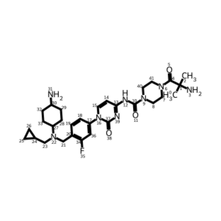 CC(C)(N)C(=O)N1CCN(C(=O)Nc2ccn(-c3ccc(CN(CC4CC4)C4CCC(N)CC4)c(F)c3)c(=O)n2)CC1